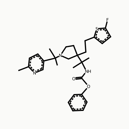 Cc1ccc(C(C)(C)N2CCC(CCc3ccc(F)s3)(C(C)(C)NC(=O)Oc3ccccc3)C2)cn1